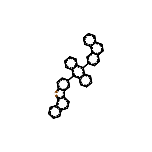 c1ccc2c(c1)ccc1ccc(-c3c4ccccc4c(-c4ccc5sc6c7ccccc7ccc6c5c4)c4ccccc34)cc12